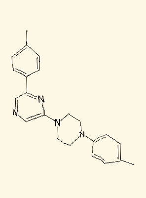 Cc1ccc(-c2cncc(N3CCN(c4ccc(C)cc4)CC3)n2)cc1